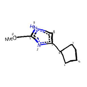 COc1nc(C2CCC2)[c][nH]1